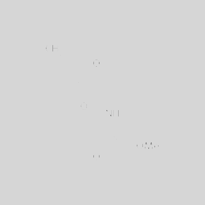 C=CC(=O)ONC(=O)OC